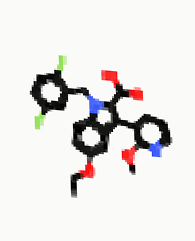 CCOc1ccc2c(c1)c(-c1cccnc1OC)c(C(=O)O)n2Cc1cc(F)ccc1F